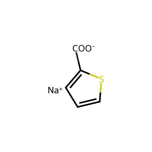 O=C([O-])c1cccs1.[Na+]